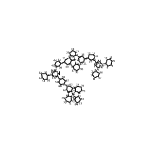 c1ccc(-c2nc(-c3ccccc3)nc(-c3cccc(-c4ccc5c(c4)-c4ccccc4C54c5ccccc5-c5cc(-c6cccc(-c7nc(-c8ccccc8)nc(-c8ccc(-c9ccc%10c(c9)-c9ccccc9C%109c%10ccccc%10-c%10ccccc%109)cc8)n7)c6)ccc54)c3)n2)cc1